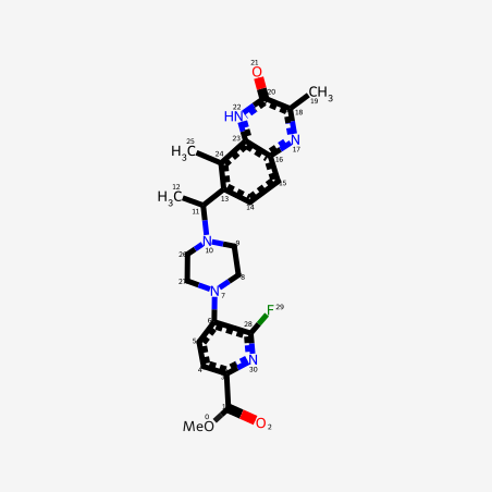 COC(=O)c1ccc(N2CCN(C(C)c3ccc4nc(C)c(=O)[nH]c4c3C)CC2)c(F)n1